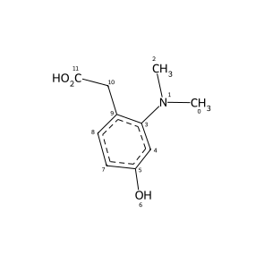 CN(C)c1cc(O)ccc1CC(=O)O